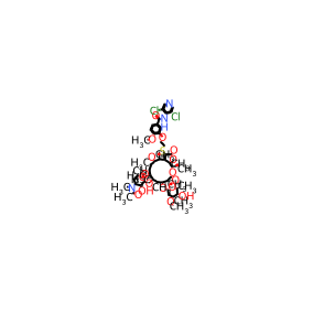 CC[C@H]1OC(=O)[C@H](C)[C@@H](O[C@H]2C[C@@](C)(OC)[C@@H](O)[C@H](C)O2)[C@H](C)[C@@H](O[C@@H]2O[C@H](C)C[C@H](N(C)C(C)=O)[C@H]2O)[C@](C)(OC)C[C@@H](C)C(=O)[C@H](C)[C@H]2[C@H](SCCOc3cc(C(=O)Nc4c(Cl)cncc4Cl)ccc3OC)C(=O)O[C@@]21C